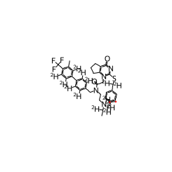 [2H]c1c([2H])c(-c2c([2H])c([2H])c(C(F)(F)F)c(C)c2[2H])c([2H])c([2H])c1CN(CCN(C([2H])([2H])C)C([2H])([2H])C)C(=O)Cn1c(SC([2H])([2H])c2ccc(F)cc2)nc(=O)c2c1CCC2